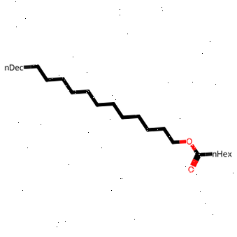 CCCCCCCCCCCCCCCCCCCCCCOC(=O)CCCCCC